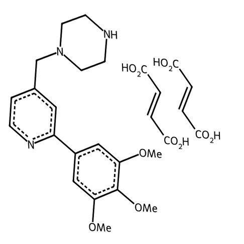 COc1cc(-c2cc(CN3CCNCC3)ccn2)cc(OC)c1OC.O=C(O)/C=C/C(=O)O.O=C(O)/C=C/C(=O)O